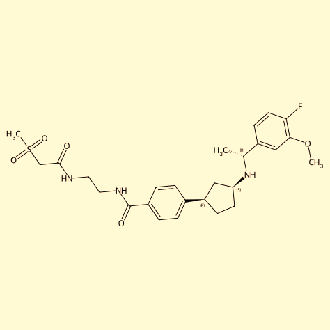 COc1cc([C@@H](C)N[C@H]2CC[C@@H](c3ccc(C(=O)NCCNC(=O)CS(C)(=O)=O)cc3)C2)ccc1F